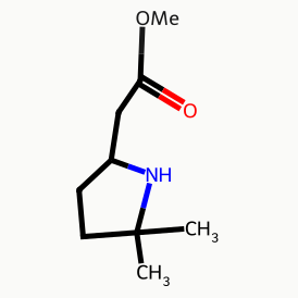 COC(=O)CC1CCC(C)(C)N1